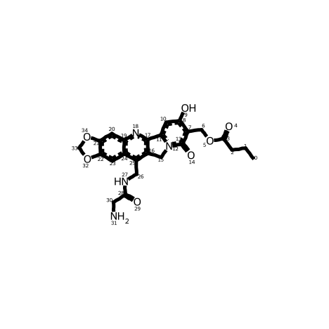 CCCC(=O)OCc1c(O)cc2n(c1=O)Cc1c-2nc2cc3c(cc2c1CNC(=O)CN)OCO3